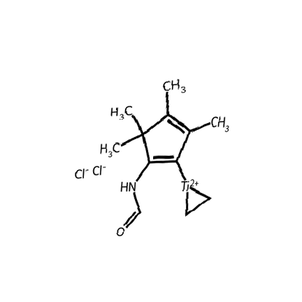 CC1=C(C)C(C)(C)C(NC=O)=[C]1[Ti+2]1[CH2][CH2]1.[Cl-].[Cl-]